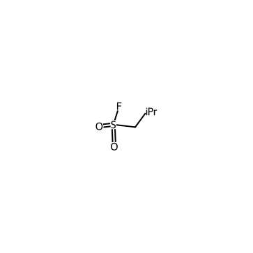 CC(C)CS(=O)(=O)F